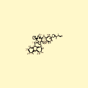 C=CCOc1cccc(CC(C(=O)O)N(C)C(=O)OCC2c3ccccc3-c3ccccc32)c1